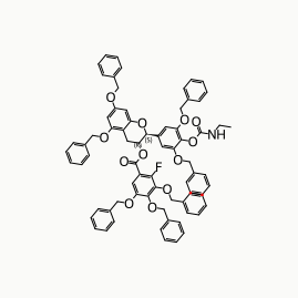 CCNC(=O)Oc1c(OCc2ccccc2)cc([C@@H]2Oc3cc(OCc4ccccc4)cc(OCc4ccccc4)c3C[C@H]2OC(=O)c2cc(OCc3ccccc3)c(OCc3ccccc3)c(OCc3ccccc3)c2F)cc1OCc1ccccc1